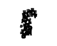 C[C@@H]1c2c(ccc(-c3cc(CN4CC[C@H](F)C4)ccn3)c2F)C(=O)N1[C@H]1CCC(=O)NC1=O